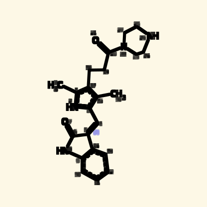 Cc1[nH]c(/C=C2\C(=O)Nc3ccccc32)c(C)c1CCC(=O)N1CCNCC1